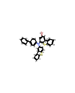 Brc1cc(N(c2ccc(-c3ccccc3)cc2)c2ccc3sc4ccccc4c3c2)c2sc3ccccc3c2c1